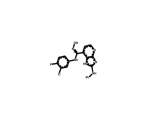 CC(C)Nc1nc2nccc(/C(=N\O)Nc3ccc(F)c(Cl)c3)c2[nH]1